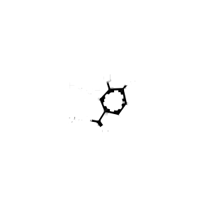 [B+2]c1ccc(C(=O)OC)cc1Cl.[OH-].[OH-]